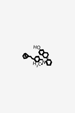 CCN(Cc1ccc(CCN2CC3CCC2CC3)cc1)c1ccccc1[C@@H]1CCc2cc(O)ccc2C1